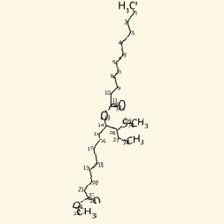 CCCCCCCCCCCC(=O)OC(CCCCCCCC(=O)OC)C(CC)SC